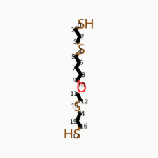 SCCCSCCCCCOCCSCCCS